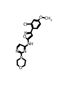 COc1ccc(-c2cc(Nc3ccnc(N4CCOCC4)n3)on2)c(Cl)c1